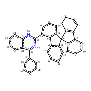 C1=CC2=C(CC1)C1(c3ccccc32)c2ccccc2-c2c(-c3nc(-c4ccccc4)c4ccccc4n3)cccc21